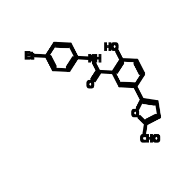 CCc1ccc(NC(=O)c2cc(-c3ccc(C=O)o3)ccc2O)cc1